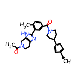 C#Cc1ccc(C2CCN(C(=O)c3ccc(C)c(-c4nc5c([nH]4)CN(C(C)=O)CC5)c3)CC2)cc1